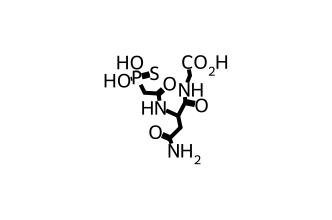 NC(=O)CC(NC(=O)CP(O)(O)=S)C(=O)NCC(=O)O